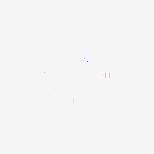 Cl.ONC1CC1